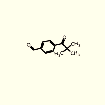 CC(C)(C)C(=O)c1ccc(C=O)cc1